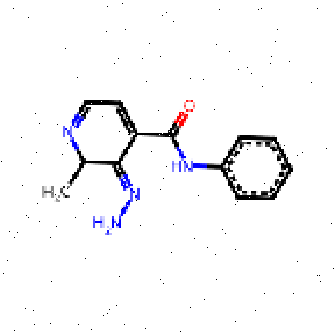 CC1N=CC=C(C(=O)Nc2ccccc2)C1=NN